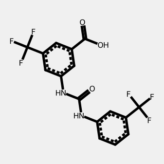 O=C(Nc1cccc(C(F)(F)F)c1)Nc1cc(C(=O)O)cc(C(F)(F)F)c1